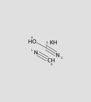 C#N.N#CO.[KH]